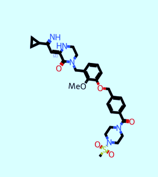 COc1c(CN2CCN/C(=C\C(=N)C3CC3)C2=O)cccc1OCc1ccc(C(=O)N2CCN(S(C)(=O)=O)CC2)cc1